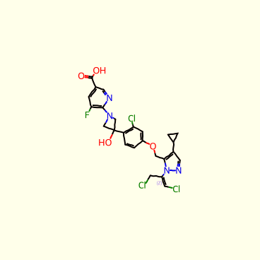 O=C(O)c1cnc(N2CC(O)(c3ccc(OCc4c(C5CC5)cnn4/C(=C\Cl)CCl)cc3Cl)C2)c(F)c1